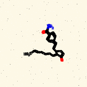 NC(=O)c1ccc(C=CC2CCC(=O)C2CCCCCCC(=O)O)cc1